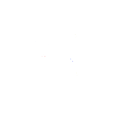 C=Cc1oc(=C(/C)c2cc(/C(=C/C)c3sc(C=C)c(/C=C\C)c3/C=C\C)nc(-c3cccc4c(C)c(/C=C\C)sc34)c2)/c(=C\C)c1/C=C\C